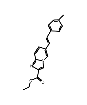 CCOC(=O)c1cn2cc(/C=C/c3ccc(C)cc3)ccc2n1